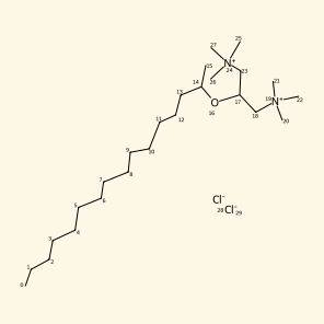 CCCCCCCCCCCCCCC(C)OC(C[N+](C)(C)C)C[N+](C)(C)C.[Cl-].[Cl-]